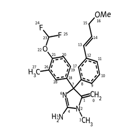 C=C1N(C)C(N)=NC1(c1cccc(/C=C/COC)c1)c1ccc(OC(F)F)c(C)c1